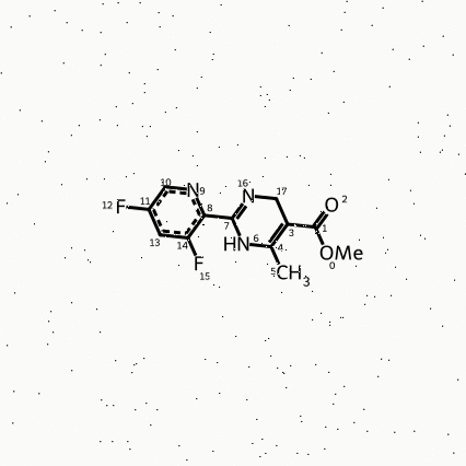 COC(=O)C1=C(C)NC(c2ncc(F)cc2F)=NC1